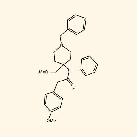 COCC1(N(C(=O)Cc2ccc(OC)cc2)c2ccccc2)CCN(Cc2ccccc2)CC1